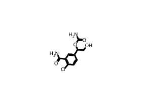 NC(=O)OC(CO)c1ccc(Cl)c(C(N)=O)c1